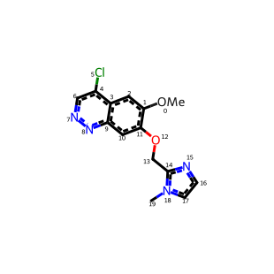 COc1cc2c(Cl)cnnc2cc1OCc1nccn1C